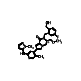 COC[C@H]1Cn2cc(-c3cc(Nc4ccnn4C)ncc3C)cc2C(=O)N1Cc1cc(F)ccc1CO